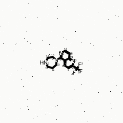 FC(F)(F)c1ccc2c(N3CCCNCC3)nccc2n1